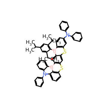 CC(C)c1cc(C(C)C)c(B2c3ccc(N(c4ccccc4)c4ccccc4)cc3Sc3cc4c(cc32)B2c3ccccc3N(c3ccccc3)c3cccc(c32)S4)c(C(C)C)c1